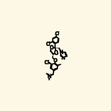 Cc1cc(CN(C)C)cc(Cl)c1OC[C@@H]1CO[C@@](Cn2ccnc2)(c2ccc(Cl)cc2Cl)O1